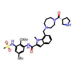 COc1c(NC(=O)c2cc3cccc(CN4CCCN(C(=O)[C@@H]5CCNC5)CC4)c3n2C)cc(C(C)(C)C)cc1NS(C)(=O)=O